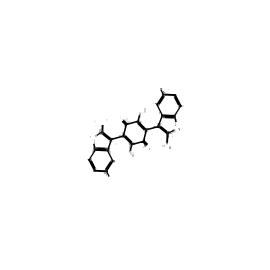 CCCc1[nH]c2ccc(C(=O)O)cc2c1C1=C(O)C(=O)C(c2c(CCC)[nH]c3ccc(C(=O)O)cc23)=C(O)C1=O